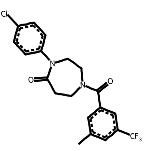 Cc1cc(C(=O)N2CCC(=O)N(c3ccc(Cl)cc3)CC2)cc(C(F)(F)F)c1